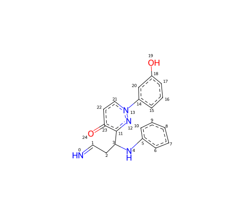 N=CCC(Nc1ccccc1)c1nn(-c2cccc(O)c2)ccc1=O